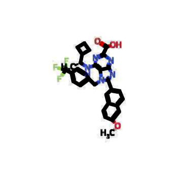 COc1ccc2cc(-c3nc4nc(C(=O)O)nc(N[C@H](C)C5CCC5)c4n3Cc3ccc(C(F)(F)F)cc3)ccc2c1